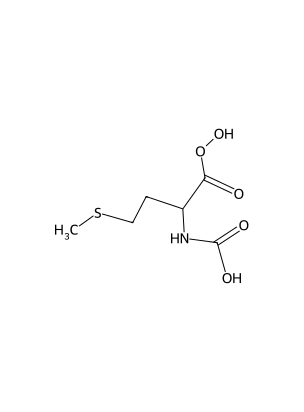 CSCCC(NC(=O)O)C(=O)OO